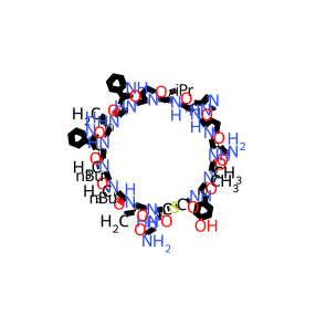 C=CC[C@@H]1NC(=O)[C@H](Cc2c[nH]c3ccccc23)NC(=O)C2CCCN2C(=O)[C@H](CC(C)C)NC(=O)[C@H](Cc2cnc[nH]2)NC(=O)C2CCCN2C(=O)[C@H](CC(N)=O)NC(=O)[C@H](C)N(C)C(=O)[C@H](Cc2ccc(O)cc2)NC(=O)CSC[C@@H](C(=O)NCC(N)=O)NC(=O)[C@H](CC=C)NC(=O)[C@H](CCCC)N(C)C(=O)[C@H](CCCC)N(C)C(=O)[C@H](Cc2c[nH]c3ccccc23)NC1=O